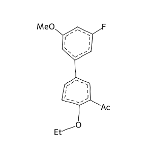 CCOc1ccc(-c2cc(F)cc(OC)c2)cc1C(C)=O